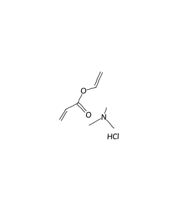 C=COC(=O)C=C.CN(C)C.Cl